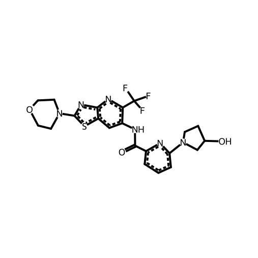 O=C(Nc1cc2sc(N3CCOCC3)nc2nc1C(F)(F)F)c1cccc(N2CCC(O)C2)n1